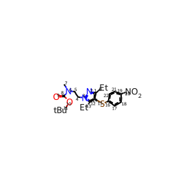 CCc1nn(CCN(C)C(=O)OC(C)(C)C)c(CC)c1Sc1ccc([N+](=O)[O-])cc1